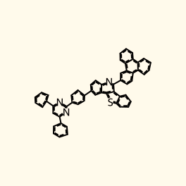 c1ccc(-c2cc(-c3ccccc3)nc(-c3ccc(-c4ccc5nc(-c6ccc7c8ccccc8c8ccccc8c7c6)c6c7ccccc7sc6c5c4)cc3)n2)cc1